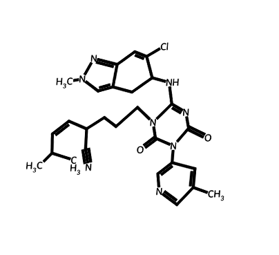 Cc1cncc(-n2c(=O)nc(NC3Cc4cn(C)nc4C=C3Cl)n(CCCC(C#N)/C=C\C(C)C)c2=O)c1